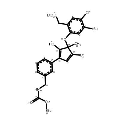 CCOC(=O)Cc1cc(Cl)c(C(C)(C)C)cc1OC1(C)C(CC)=CC(c2cccc(CNC(=O)OC(C)(C)C)c2)=C1O